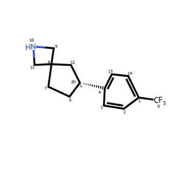 FC(F)(F)c1ccc([C@@H]2CCC3(CNC3)C2)cc1